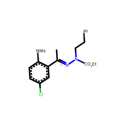 CCOC(=O)N(CCC(C)C)/N=C(\C)c1cc(Cl)ccc1NC